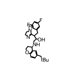 CC(C)(C)Cc1ccc2c(c1)C(NCC(O)C(Cc1cc(F)cc(F)c1)C1=NCCN1)CCO2